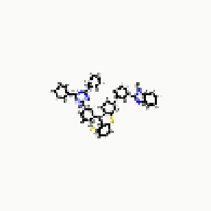 CCn1c(-c2cccc(-c3ccc4c(c3)Sc3cccc5c3B4c3cc(-c4nc(-c6ccccc6)nc(-c6ccccc6)n4)ccc3S5)c2)nc2ccccc21